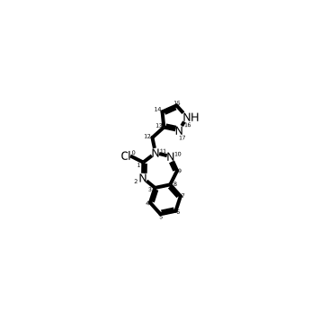 ClC1=Nc2ccccc2C=NN1Cc1cc[nH]n1